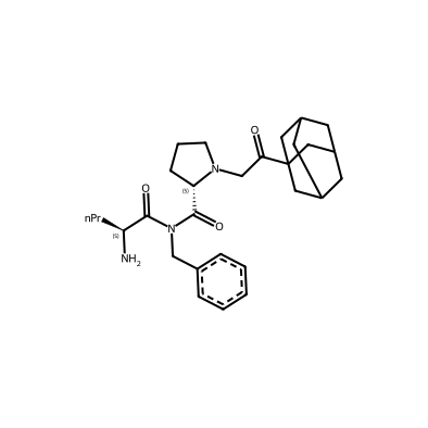 CCC[C@H](N)C(=O)N(Cc1ccccc1)C(=O)[C@@H]1CCCN1CC(=O)C12CC3CC(CC(C3)C1)C2